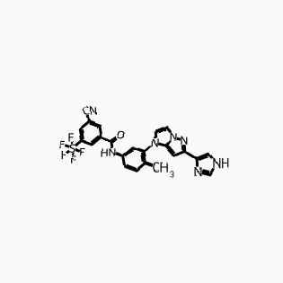 Cc1ccc(NC(=O)c2cc(C#N)cc(S(F)(F)(F)(F)F)c2)cc1-n1ccn2nc(-c3c[nH]cn3)cc12